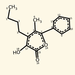 CCCCc1c(C)c(-c2ccccc2)oc(=O)c1O